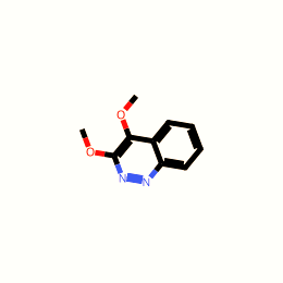 COc1nnc2ccccc2c1OC